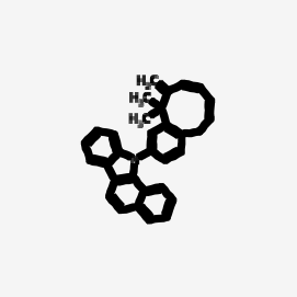 C=C1/C=C\C=C/Cc2ccc(-n3c4ccccc4c4ccc5ccccc5c43)cc2C1(C)C